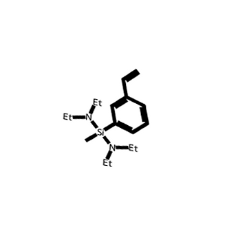 C=Cc1cccc([Si](C)(N(CC)CC)N(CC)CC)c1